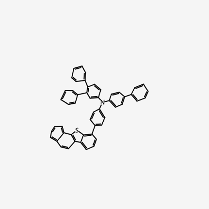 c1ccc(-c2ccc(N(c3ccc(-c4cccc5c4sc4c6ccccc6ccc54)cc3)c3ccc(-c4ccccc4)c(-c4ccccc4)c3)cc2)cc1